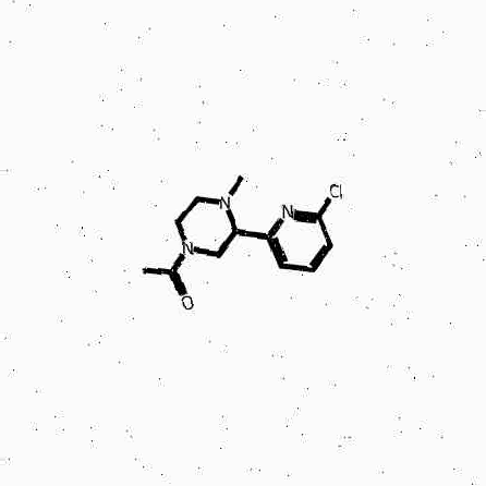 CC(=O)N1CCN(C)C(c2cccc(Cl)n2)C1